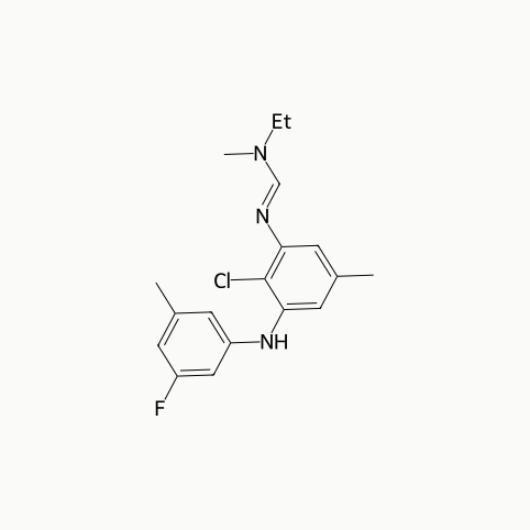 CCN(C)C=Nc1cc(C)cc(Nc2cc(C)cc(F)c2)c1Cl